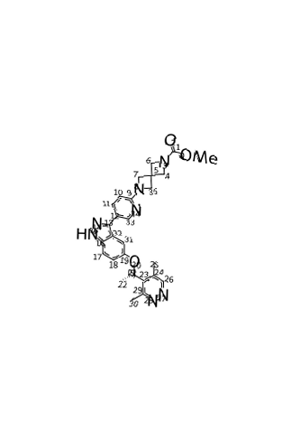 COC(=O)N1CC2(C1)CN(c1ccc(-c3n[nH]c4ccc(O[C@@H](C)c5c(C)cnnc5C)cc34)cn1)C2